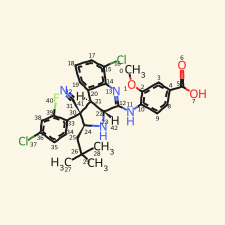 COc1cc(C(=O)O)ccc1NC1=Nc2c(Cl)cccc2[C@H]2[C@H]1N[C@@H](CC(C)(C)C)[C@]2(C#N)c1ccc(Cl)cc1F